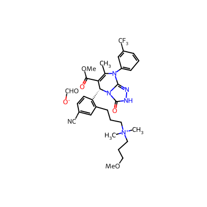 COCCC[N+](C)(C)CCCc1cc(C#N)ccc1[C@@H]1C(C(=O)OC)=C(C)N(c2cccc(C(F)(F)F)c2)c2n[nH]c(=O)n21.O=C[O-]